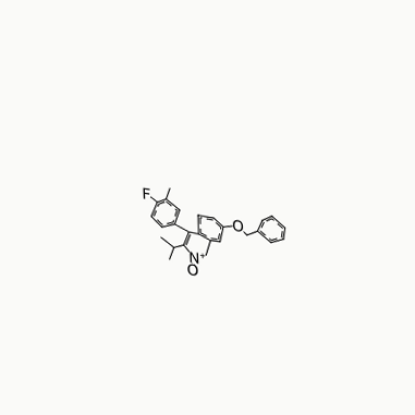 Cc1cc(C2=C(C(C)C)[N+](=O)Cc3cc(OCc4ccccc4)ccc32)ccc1F